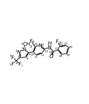 Cn1nc(C(F)(F)F)cc1-c1ccc(NC(=O)c2ccccc2F)nc1F